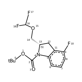 CC(C)(C)OC(=O)N1c2cccc(F)c2C[C@H]1COC(F)F